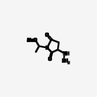 BNC1CC(=O)N(C(C)OC)C1=O